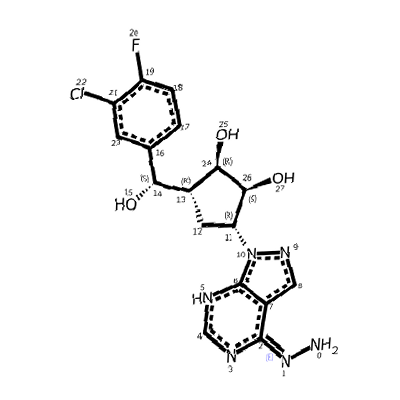 N/N=c1/nc[nH]c2c1cnn2[C@@H]1C[C@H]([C@H](O)c2ccc(F)c(Cl)c2)[C@@H](O)[C@H]1O